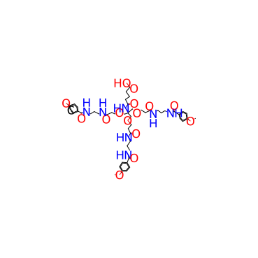 COc1ccc(C(=O)NCCCNC(=O)CCOCC(COCCC(=O)NCCCNC(=O)c2ccc(OC)cc2)(COCCC(=O)NCCCNC(=O)c2ccc(OC)cc2)NC(=O)CCCC(=O)O)cc1